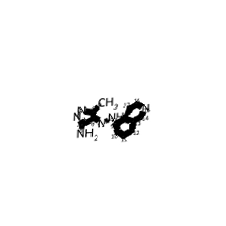 CC1=NN=C(N)/C1=N/Nc1cccc2cnccc12